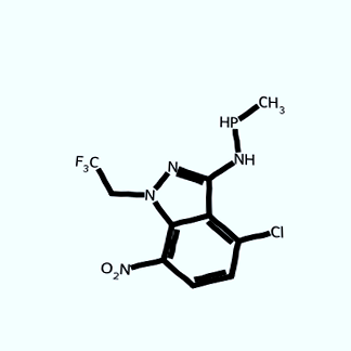 CPNc1nn(CC(F)(F)F)c2c([N+](=O)[O-])ccc(Cl)c12